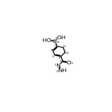 N=NC(=O)C1=CC=C(B(O)O)CC1